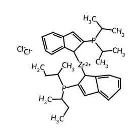 CCC(C)P(C1=Cc2ccccc2[CH]1[Zr+2][CH]1C(P(C(C)C)C(C)C)=Cc2ccccc21)C(C)CC.[Cl-].[Cl-]